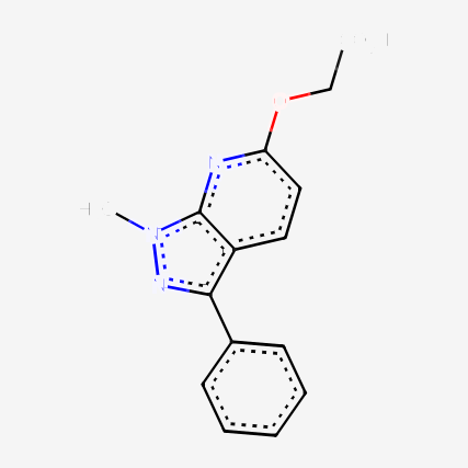 Cn1nc(-c2ccccc2)c2ccc(OCC(=O)O)nc21